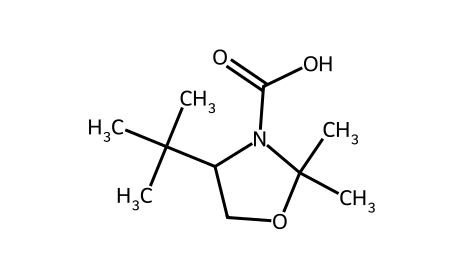 CC(C)(C)C1COC(C)(C)N1C(=O)O